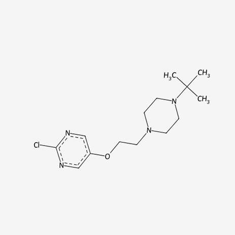 CC(C)(C)N1CCN(CCOc2cnc(Cl)nc2)CC1